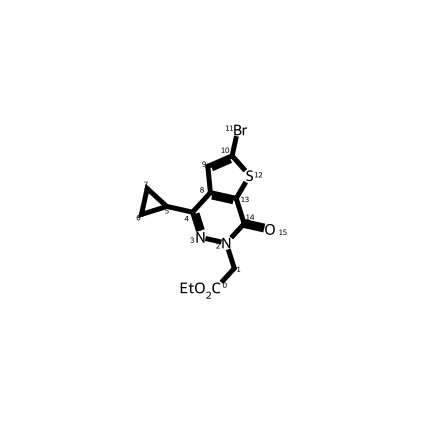 CCOC(=O)Cn1nc(C2CC2)c2cc(Br)sc2c1=O